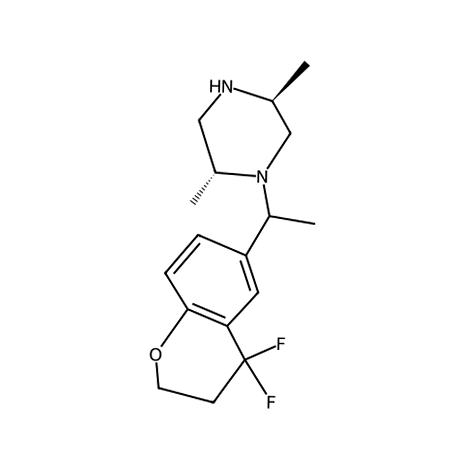 CC(c1ccc2c(c1)C(F)(F)CCO2)N1C[C@H](C)NC[C@H]1C